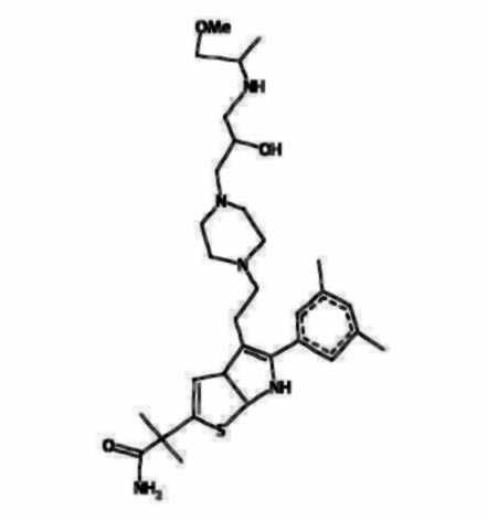 COCC(C)NCC(O)CN1CCN(CCC2=C(c3cc(C)cc(C)c3)NC3SC(C(C)(C)C(N)=O)=CC23)CC1